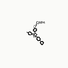 COCCOc1ccc(C2CC(c3ccc(-c4ccccc4)cc3)=NN2c2ccc(C)cc2)cc1